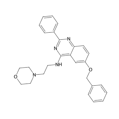 c1ccc(COc2ccc3nc(-c4ccccc4)nc(NCCN4CCOCC4)c3c2)cc1